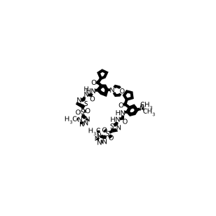 CN(C)c1ccc(NC(=O)Nc2ncc(S(=O)(=O)c3nnnn3C)s2)c(C(=O)C2CCCC2)c1.Cn1nnnc1S(=O)(=O)c1cnc(NC(=O)Nc2ccc(N3CCOCC3)cc2C(=O)C2CCCC2)s1